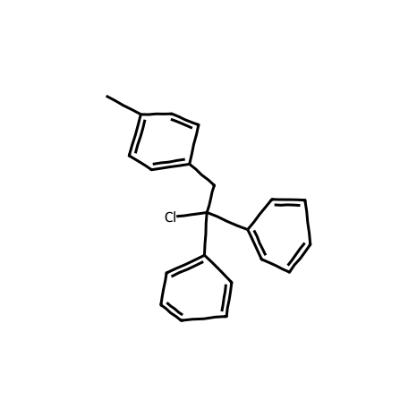 Cc1ccc(CC(Cl)(c2ccccc2)c2ccccc2)cc1